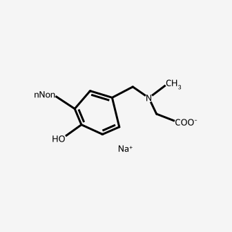 CCCCCCCCCc1cc(CN(C)CC(=O)[O-])ccc1O.[Na+]